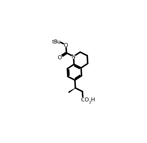 C[C@H](CC(=O)O)c1ccc2c(c1)CCCN2C(=O)OC(C)(C)C